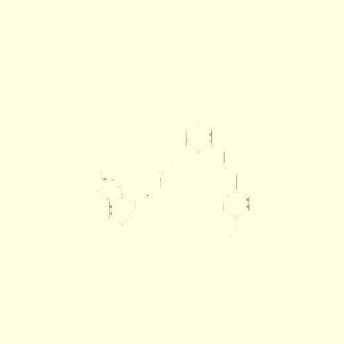 COc1ccc(CNCc2cccc(CCNCC(O)(O)c3ccc(O)c4[nH]c(=O)sc34)c2)cc1.Cl.Cl